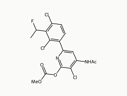 COC(=O)Oc1nc(-c2ccc(Cl)c(C(C)F)c2Cl)cc(NC(C)=O)c1Cl